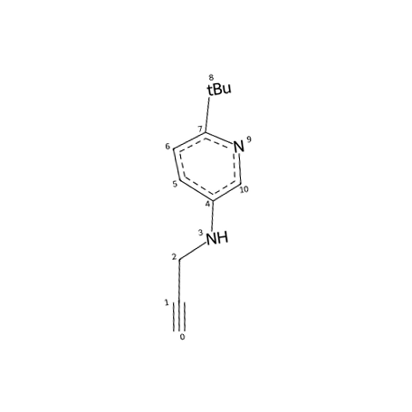 C#CCNc1ccc(C(C)(C)C)nc1